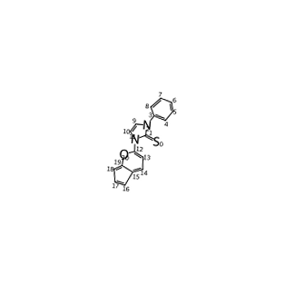 S=c1n(-c2ccccc2)ccn1-c1ccc2cccc-2o1